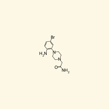 NC(=O)CN1CCN(c2cc(Br)ccc2N)CC1